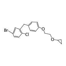 Clc1ccc(Br)cc1Cc1ccc(OCCOC2CC2)cc1